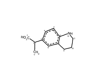 CC(C(=O)O)c1ccc2c(c1)CCCN2